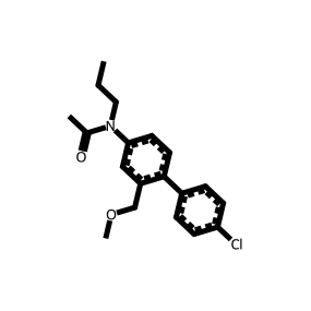 CCCN(C(C)=O)c1ccc(-c2ccc(Cl)cc2)c(COC)c1